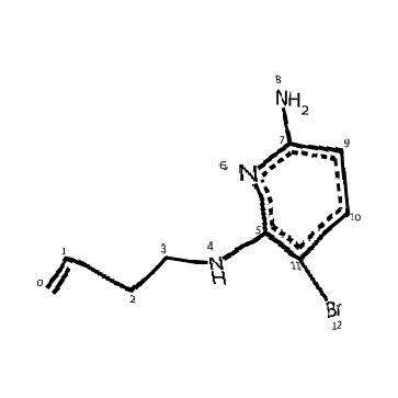 C=CCCNc1nc(N)ccc1Br